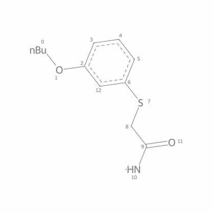 CCCCOc1cccc(SCC([NH])=O)c1